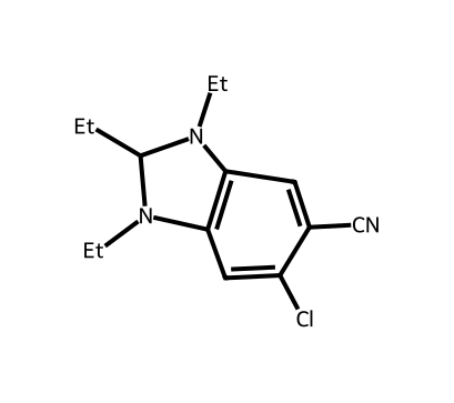 CCC1N(CC)c2cc(Cl)c(C#N)cc2N1CC